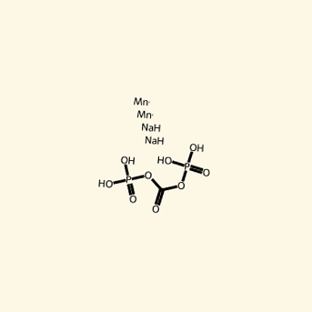 O=C(OP(=O)(O)O)OP(=O)(O)O.[Mn].[Mn].[NaH].[NaH]